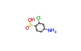 Nc1ccc(S(=O)O)c(Cl)c1